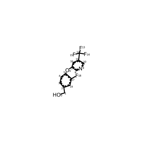 OCc1ccc(Oc2cncc(C(F)(F)F)c2)c(F)c1